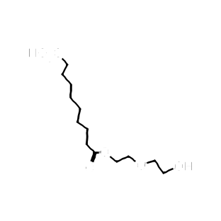 O=C(O)CCCCCCCCC(=O)OCCOCCO